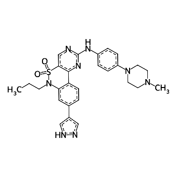 CCCN1c2cc(-c3cn[nH]c3)ccc2-c2nc(Nc3ccc(N4CCN(C)CC4)cc3)ncc2S1(=O)=O